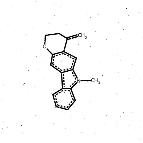 C=C1CCOc2cc3c4ccccc4n(C)c3cc21